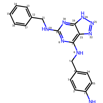 Nc1ccc(CNc2nc(NCc3ccccc3)nc3[nH]nnc23)cc1